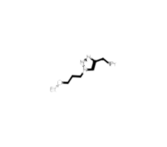 CCOCCCn1cc(CC(C)C)nn1